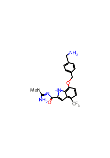 CNC(N)=NC(=O)c1cc2c(C(F)(F)F)ccc(OCc3ccc(CN)cc3)c2[nH]1